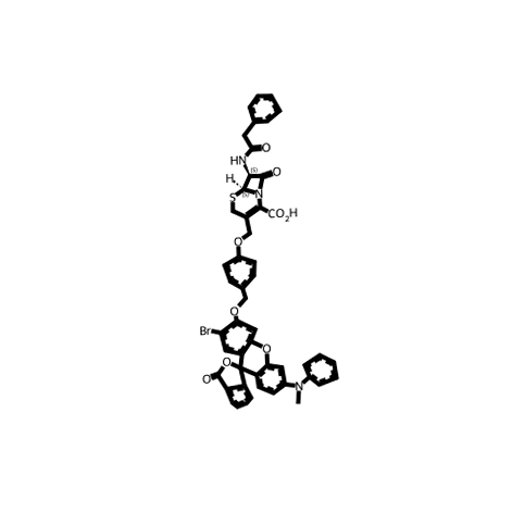 CN(c1ccccc1)c1ccc2c(c1)Oc1cc(OCc3ccc(OCC4=C(C(=O)O)N5C(=O)[C@H](NC(=O)Cc6ccccc6)[C@@H]5SC4)cc3)c(Br)cc1C21OC(=O)c2ccccc21